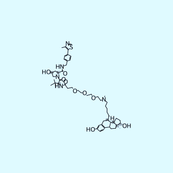 Cc1ncsc1-c1ccc(CNC(=O)[C@@H]2C[C@@H](O)CN2C(=O)[C@@H](NC(=O)CCOCCOCCOCCN(C)CCCCC[C@@H]2Cc3cc(O)ccc3C3CC[C@]4(C)[C@@H](O)CC[C@H]4C32)C(C)(C)C)cc1